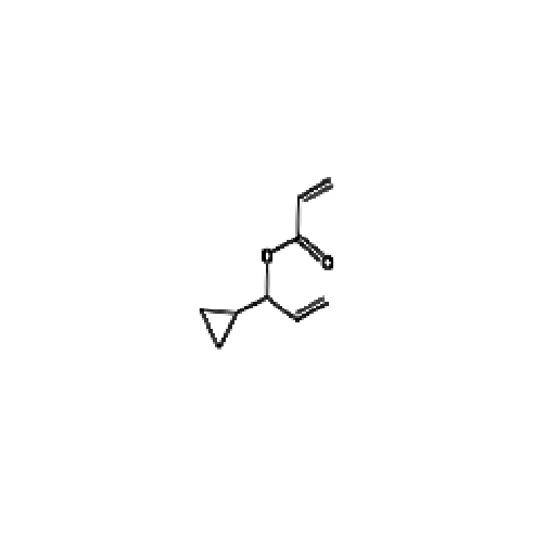 C=CC(=O)OC(C=C)C1CC1